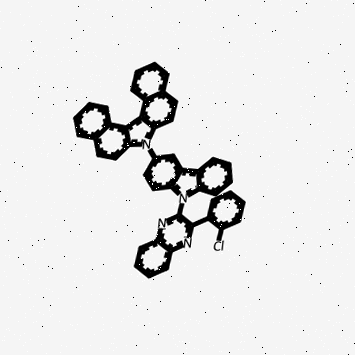 Clc1ccccc1-c1nc2ccccc2nc1-n1c2ccccc2c2cc(-n3c4ccc5ccccc5c4c4c5ccccc5ccc43)ccc21